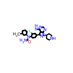 Cc1cccc(N(C(N)=O)c2ccc(-c3nn(C4CCNCC4)c4ncnc(N)c34)cc2F)c1